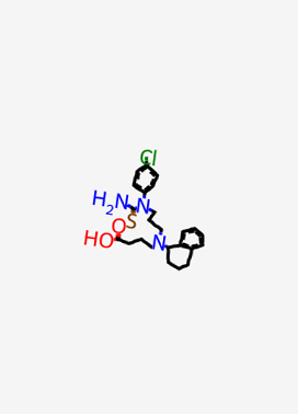 NC(=S)N(CCCN(CCCC(=O)O)C1CCCc2ccccc21)c1ccc(Cl)cc1